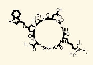 CC1NC(=O)C(CC(=O)O)NC(=O)CNC(=O)C(CCCC[N+](C)(C)C)NC(=O)CCSSCC(C(N)=O)NC(=O)C2CC(OCc3c[nH]c4ccccc34)CN2C1O